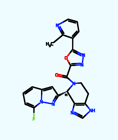 Cc1ncccc1-c1nnc(C(=O)N2CCc3[nH]cnc3[C@@H]2c2cc3cccc(F)n3n2)o1